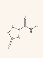 CNC(=O)C1CCC(=O)C1